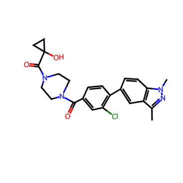 Cc1nn(C)c2ccc(-c3ccc(C(=O)N4CCN(C(=O)C5(O)CC5)CC4)cc3Cl)cc12